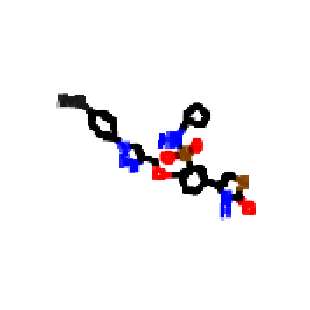 COc1ccc(-n2cc(COc3ccc(-c4csc(=O)[nH]4)cc3S(=O)(=O)NC3CCCC3)nn2)cc1